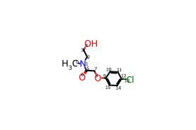 CN(CCO)C(=O)COc1ccc(Cl)cc1